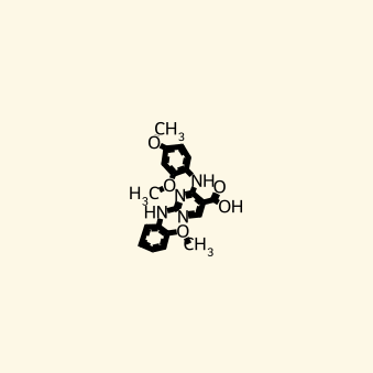 COc1ccc(Nc2nc(Nc3ccccc3OC)ncc2C(=O)O)c(OC)c1